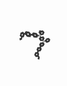 C=Cc1cccc(-c2ccc(-c3ccc(N(c4ccccc4)c4ccc(N(c5ccccc5)c5ccc(-c6ccc(-c7cccc(C=C)c7)cc6)cc5)cc4)cc3)cc2)c1